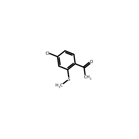 CSc1cc(Cl)ccc1C(C)=O